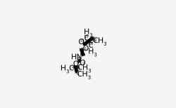 CCC(C)(C)OC(=O)NCCOC(=O)C(C)(C)CC